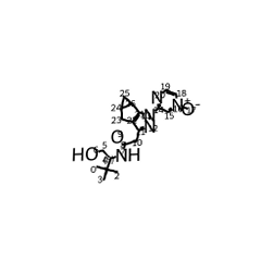 CC(C)(C)[C@@H](CO)NC(=O)Cc1nn(-c2c[n+]([O-])ccn2)c2c1CC1CC21